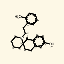 Cc1ccccc1CCN1CCCCC12CCc1cc(O)ccc1C2=O